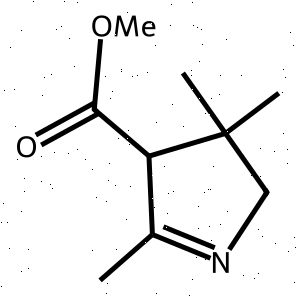 COC(=O)C1C(C)=NCC1(C)C